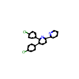 Clc1ccc(-c2ccc(-c3ccccn3)nc2-c2ccc(Cl)cc2)cc1